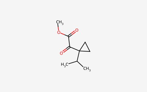 COC(=O)C(=O)C1(C(C)C)CC1